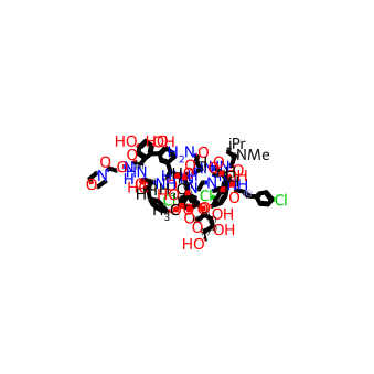 CN[C@H](CC(C)C)C(=O)N[C@H]1C(=O)N[C@@H](CC(N)=O)C(=O)N[C@H]2C(=O)N[C@H]3C(=O)N[C@H](C(=O)N[C@@H](C(=O)NOCC(=O)N4CCOCC4)c4cc(O)cc(O)c4-c4cc3ccc4O)[C@H](O)c3ccc(c(Cl)c3)Oc3cc2cc(c3O[C@@H]2O[C@H](CO)[C@@H](O)[C@H](O)[C@H]2O[C@H]2C[C@](C)(NCCn3ccc(NC(=O)/C=C/c4ccc(Cl)cc4)nc3=O)[C@H](O)[C@H](C)O2)Oc2ccc(cc2Cl)[C@H]1O